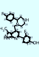 Cc1n[nH]c2nc(-c3ccc(O)cc3F)cc(CN3CCNCC3c3ccc(F)cc3)c12